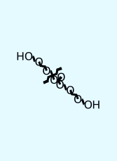 C=CCC(CC=C)(COCCOCCO)OC(=O)OCCOCCOCCO